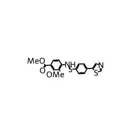 COC(=O)c1ccc(NSc2ccc(-c3cncs3)cc2)c(OC)c1